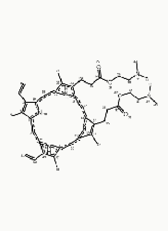 C=CC1=C(C)c2cc3[nH]c(cc4nc(cc5[nH]c(cc1n2)c(C)c5CCC(=O)OCCN(C)C)C(CCC(=O)OCCN(C)C)=C4C)c(C)c3C=C